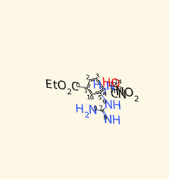 CCOC(=O)c1cccc(NC(=N)N)c1.N#CN.O=[N+]([O-])O